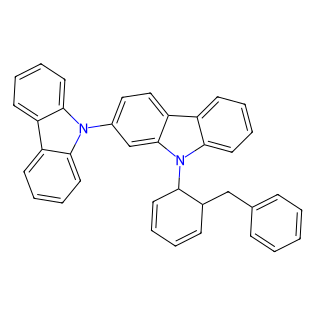 C1=CC(Cc2ccccc2)C(n2c3ccccc3c3ccc(-n4c5ccccc5c5ccccc54)cc32)C=C1